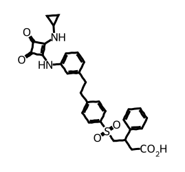 O=C(O)CC(CS(=O)(=O)c1ccc(CCc2cccc(Nc3c(NC4CC4)c(=O)c3=O)c2)cc1)c1ccccc1